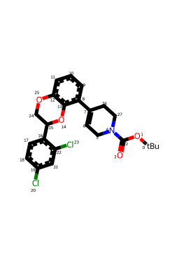 CC(C)(C)OC(=O)N1CC=C(c2cccc3c2OC(c2ccc(Cl)cc2Cl)CO3)CC1